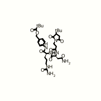 CC(C)(C)C(=O)OCc1ccc(NC(=O)[C@H](CCCNC(N)=O)NC(=O)[C@H](CC(N)=O)NC(=O)CCN2C(=O)CC(C(C)(C)C)C2=O)cc1